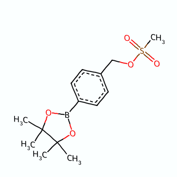 CC1(C)OB(c2ccc(COS(C)(=O)=O)cc2)OC1(C)C